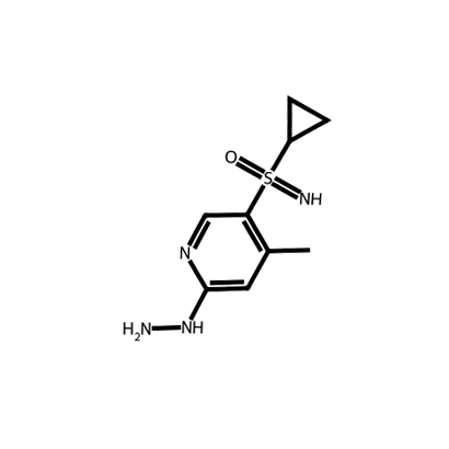 Cc1cc(NN)ncc1S(=N)(=O)C1CC1